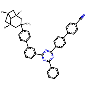 CC1(c2ccc(-c3cccc(-c4nc(-c5ccccc5)nc(-c5ccc(-c6ccc(C#N)cc6)cc5)n4)c3)cc2)C[C@H]2C[C@H]3C[C@@H](C1)C32